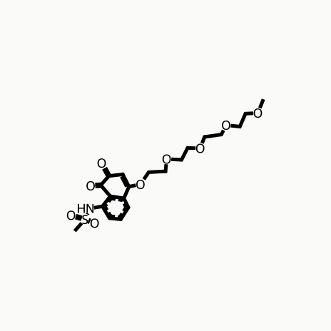 COCCOCCOCCOCCOC1=CC(=O)C(=O)c2c(NS(C)(=O)=O)cccc21